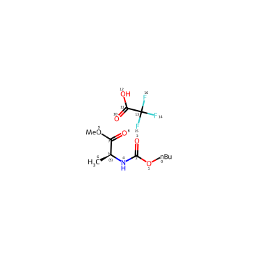 CCCCOC(=O)N[C@@H](C)C(=O)OC.O=C(O)C(F)(F)F